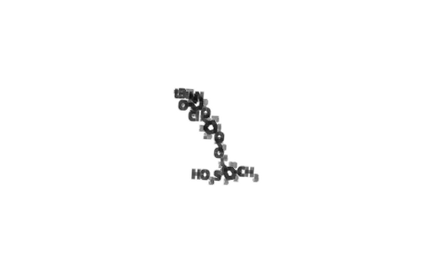 Cc1ccc(S(=O)(=O)O)c(CCOCCOc2ccc(COc3cnn(C(C)(C)C)c(=O)c3Cl)cc2)c1